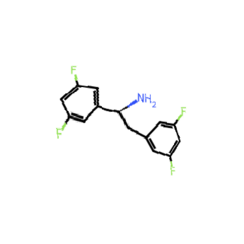 N[C@@H](Cc1cc(F)cc(F)c1)c1cc(F)cc(F)c1